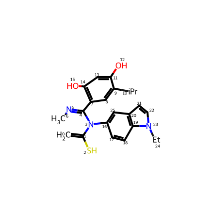 C=C(S)N(/C(=N\C)c1cc(C(C)C)c(O)cc1O)c1ccc2c(ccn2CC)c1